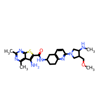 CNC1CN(c2ccc3c(n2)CCC(NC(=O)c2sc4nc(C)nc(C)c4c2N)C3)CC1COC